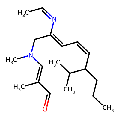 C\C=N/C(=C\C=C/C(CCC)C(C)C)CN(C)/C=C(\C)C=O